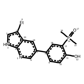 CCc1c[nH]c2ncc(-c3ccc(O)c(P(C)(C)=O)c3)cc12